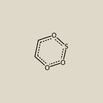 c1cosoo1